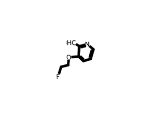 [CH]c1ncccc1OCCF